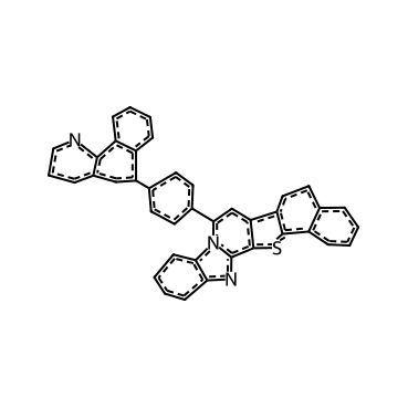 c1ccc2c(c1)ccc1c3cc(-c4ccc(-c5cc6cccnc6c6ccccc56)cc4)n4c5ccccc5nc4c3sc21